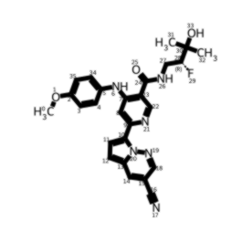 COc1ccc(Nc2cc(-c3ccc4cc(C#N)cnn34)ncc2C(=O)NC[C@@H](F)C(C)(C)O)cc1